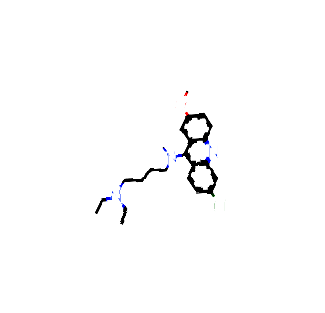 CCN(CC)CCCCN(C)c1c2ccc(Cl)cc2nc2ccc(OC)cc12